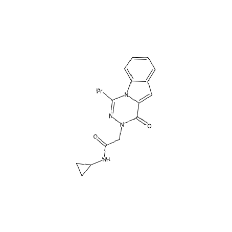 CC(C)c1nn(CC(=O)NC2CC2)c(=O)c2cc3ccccc3n12